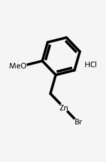 COc1ccccc1[CH2][Zn][Br].Cl